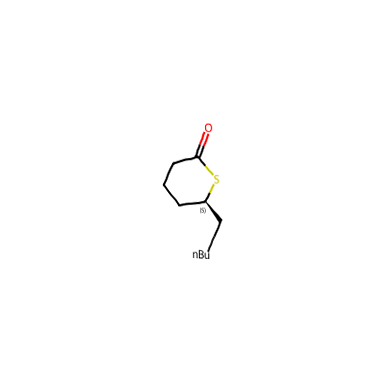 CCCCC[C@H]1CCCC(=O)S1